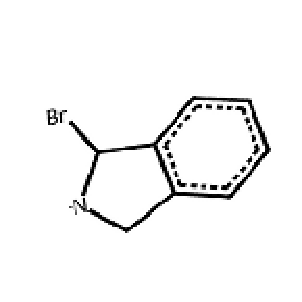 BrC1[N]Cc2ccccc21